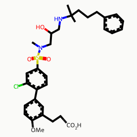 COc1ccc(-c2ccc(S(=O)(=O)N(C)CC(O)CNC(C)(C)CCCc3ccccc3)cc2Cl)cc1CCC(=O)O